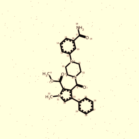 COC(=O)c1c(C(=O)N2CCN(c3cccc(C(N)=O)c3)CC2)c(-c2ccccc2)cn1C